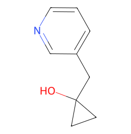 OC1(Cc2cccnc2)CC1